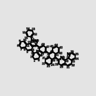 c1ccc(-c2cc3ccccc3c3c2c(-c2ccc(-c4c5ccccc5c(-c5ccc6ccc7cccnc7c6n5)c5ccccc45)cc2)nn3-c2ccccc2)cc1